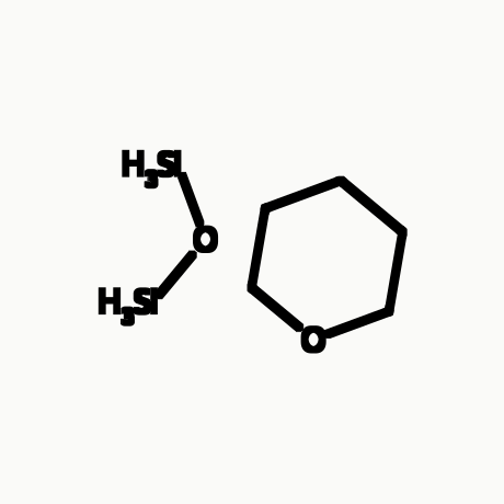 C1CCOCC1.[SiH3]O[SiH3]